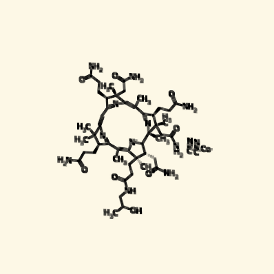 C/C1=C2/[N-]C([C@H](CC(N)=O)[C@@]2(C)CCC(=O)NCC(C)O)[C@]2(C)N=C(/C(C)=C3N=C(/C=C4N=C1[C@@H](CCC(N)=O)C\4(C)C)[C@@H](CCC(N)=O)[C@]\3(C)CC(N)=O)[C@@H](CCC(N)=O)[C@]2(C)CC(N)=O.[C-]#N.[C-]#N.[Co]